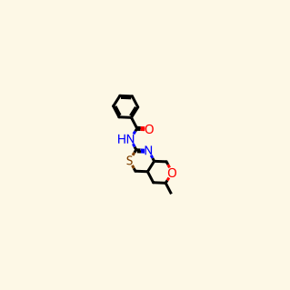 CC1CC2CSC(NC(=O)c3ccccc3)=NC2CO1